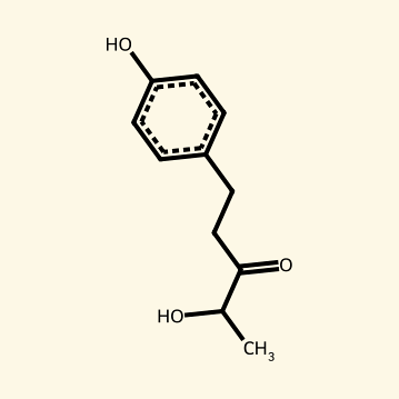 CC(O)C(=O)CCc1ccc(O)cc1